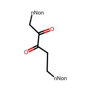 CCCCCCCCCCCC(=O)C(=O)CCCCCCCCCC